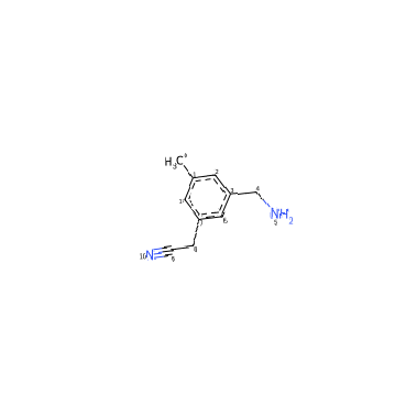 Cc1cc(CN)cc(CC#N)c1